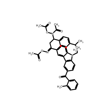 CCn1c2ccc(C(=O)c3ccccc3C)cc2c2cc(/C(CC(c3ccc(C(C)C)cc3)N(OC(C)=O)C(C)=O)=N/OC(C)=O)ccc21